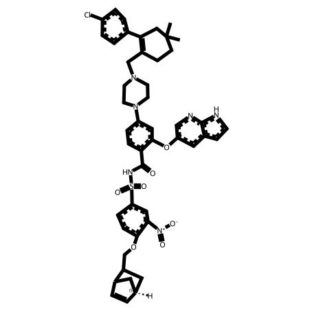 CC1(C)CCC(CN2CCN(c3ccc(C(=O)NS(=O)(=O)c4ccc(OCC5C[C@H]6C=CC5C6)c([N+](=O)[O-])c4)c(Oc4cnc5[nH]ccc5c4)c3)CC2)=C(c2ccc(Cl)cc2)C1